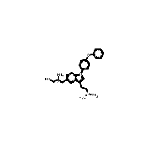 CN(C)CCc1cn(-c2ccc(Oc3ccccc3)cc2)c2ccc(C[C@H](N)CO)cc12